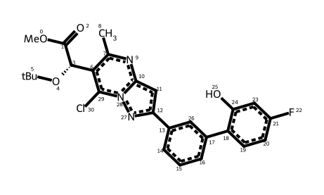 COC(=O)[C@@H](OC(C)(C)C)c1c(C)nc2cc(-c3cccc(-c4ccc(F)cc4O)c3)nn2c1Cl